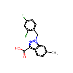 Cc1ccc2c(C(=O)O)nn(Cc3ccc(F)cc3F)c2c1